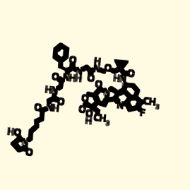 CC[C@@]1(O)C(=O)OCc2c1cc1n(c2=O)Cc2c-1nc1cc(F)c(C)c3c1c2[C@@H](NC(=O)C1(COCNC(=O)CNC(=O)[C@H](Cc2ccccc2)NC(=O)CNC(=O)CNC(=O)CCCCCN2C(=O)C=CC2O)CC1)CC3